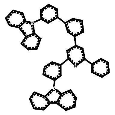 c1ccc(-c2cc(-c3cccc(-c4cccc(-n5c6ccccc6c6ccccc65)c4)c3)cc(-c3cccc(-n4c5ccccc5c5ccccc54)c3)n2)cc1